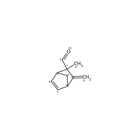 C=C1C2C=CC(C2)C1(C)C=O